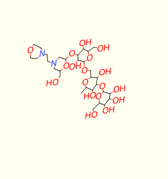 CC1OC(COC2OC(CO)C(O)C(OC3CN(CCN4CCOCC4)CC(CO)O3)C2O)C(O)C(OC2OC(CO)C(O)C(O)C2O)C1O